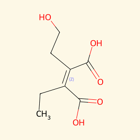 CC/C(C(=O)O)=C(\CCO)C(=O)O